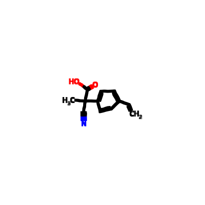 C=Cc1ccc(C(C)(C#N)C(=O)O)cc1